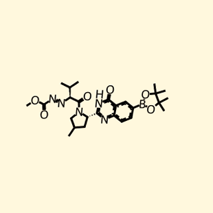 COC(=O)N=N[C@H](C(=O)N1CC(C)C[C@H]1c1nc2ccc(B3OC(C)(C)C(C)(C)O3)cc2c(=O)[nH]1)C(C)C